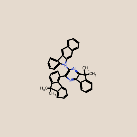 CC1(C)c2ccccc2-c2c(-c3nc4c(nc3-n3c5ccccc5c5cc6ccccc6cc53)C(C)(C)c3ccccc3-4)cccc21